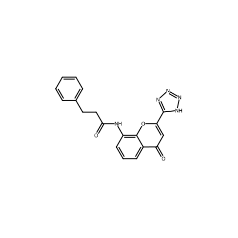 O=C(CCc1ccccc1)Nc1cccc2c(=O)cc(-c3nnn[nH]3)oc12